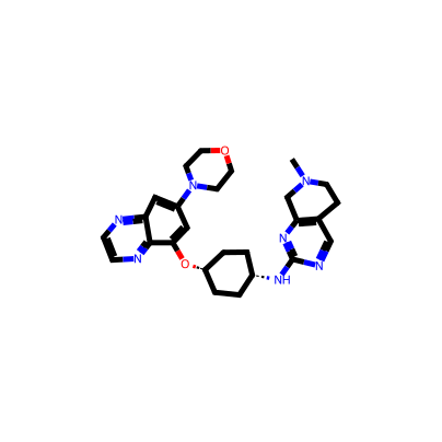 CN1CCc2cnc(N[C@H]3CC[C@@H](Oc4cc(N5CCOCC5)cc5nccnc45)CC3)nc2C1